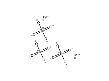 O=[Te](=O)([O-])[O-].O=[Te](=O)([O-])[O-].O=[Te](=O)([O-])[O-].[In+3].[In+3]